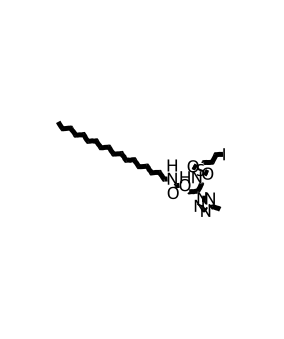 CCCCCCCCCCCCCCCCCCNC(=O)OCC(CNS(=O)(=O)CCCI)n1nnc(C)n1